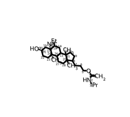 C=C(NC(C)C)OCCCC1CCC2(C)C3C[C@H](CC)[C@]4(N)C[C@H](O)CC[C@]4(C)C3CCC12C